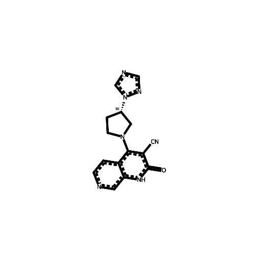 N#Cc1c(N2CC[C@H](n3cncn3)C2)c2ccncc2[nH]c1=O